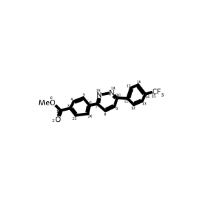 COC(=O)c1ccc(-c2ccc(-c3ccc(C(F)(F)F)cc3)nn2)cc1